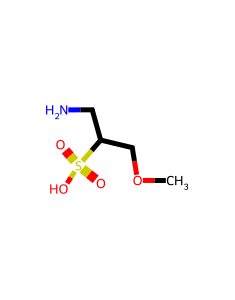 COCC(CN)S(=O)(=O)O